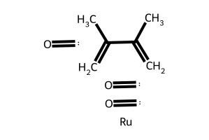 C=C(C)C(=C)C.[C]=O.[C]=O.[C]=O.[Ru]